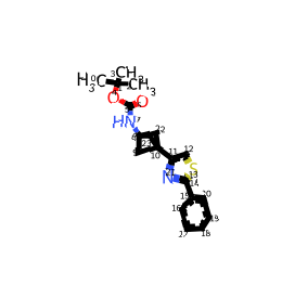 CC(C)(C)OC(=O)NC12CC(c3csc(-c4ccccc4)n3)(C1)C2